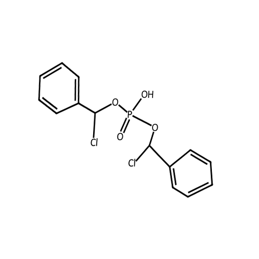 O=P(O)(OC(Cl)c1ccccc1)OC(Cl)c1ccccc1